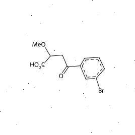 COC(CC(=O)c1cccc(Br)c1)C(=O)O